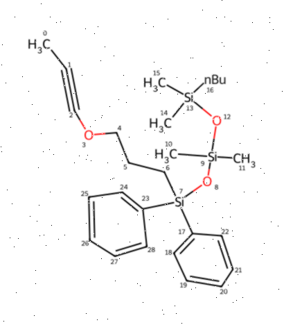 CC#COCCC[Si](O[Si](C)(C)O[Si](C)(C)CCCC)(c1ccccc1)c1ccccc1